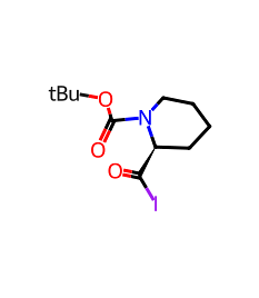 CC(C)(C)OC(=O)N1CCCC[C@H]1C(=O)I